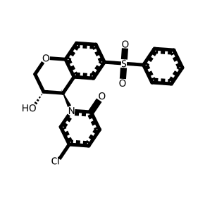 O=c1ccc(Cl)cn1[C@@H]1c2cc(S(=O)(=O)c3ccccc3)ccc2OC[C@H]1O